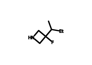 CCC(C)C1(F)CNC1